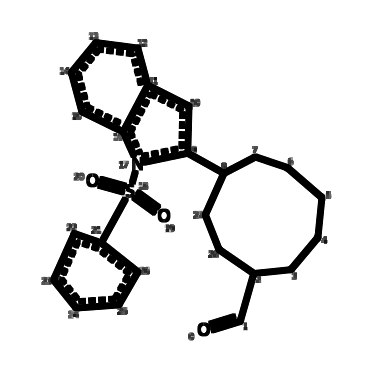 O=CC1CCCCCC(c2cc3ccccc3n2S(=O)(=O)c2ccccc2)CC1